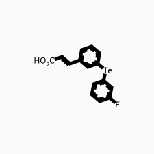 O=C(O)C=Cc1cccc([Te]c2cccc(F)c2)c1